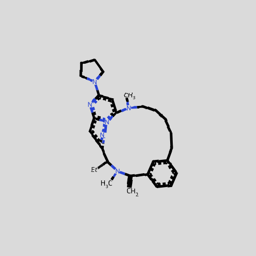 C=C1c2cccc(c2)CCCCCN(C)c2cc(N3CCCC3)nc3cc(nn23)C(CC)N1C